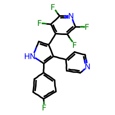 Fc1ccc(-c2[nH]cc(-c3c(F)c(F)nc(F)c3F)c2-c2ccncc2)cc1